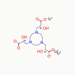 O=C([O-])[C@H](O)CN1CCN(C[C@@H](O)C(=O)[O-])CCN(C[C@@H](O)C(=O)[O-])CC1.[Li+].[Li+].[Li+]